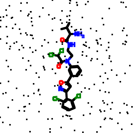 CC(C)C(N)C(=O)NCCN(C(=O)C(Cl)Cl)c1cccc(-c2cc(-c3c(Cl)cccc3Cl)no2)c1